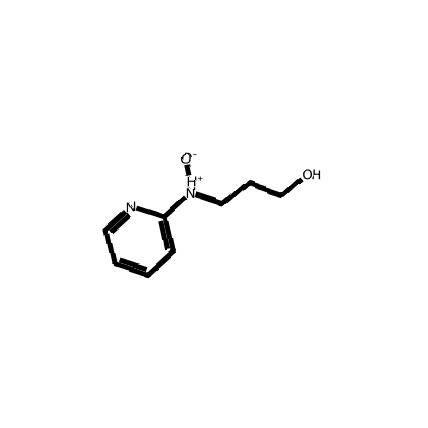 [O-][NH+](CCCO)c1ccccn1